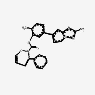 Cc1ccc(-c2ccn3nc(N)nc3c2)cc1NC(=O)N1OC=CC=C1c1ccccc1